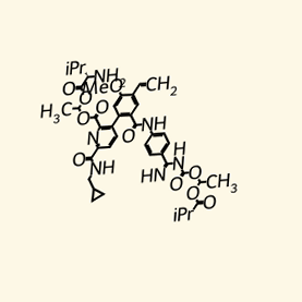 C=Cc1cc(C(=O)Nc2ccc(C(=N)NC(=O)OC(C)OC(=O)C(C)C)cc2)c(-c2ccc(C(=O)NCC3CC3)nc2C(=O)OC(C)OC(=O)[C@@H](N)C(C)C)cc1OC